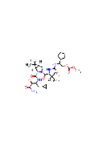 COC(=O)OC[C@@H](NC(=O)N[C@H](C(=O)N1C[C@H]2[C@@H]([C@H]1C(=O)NC(CC1CC1)C(=O)C(N)=O)C2(C)C)C(C)(C)C)C1CCCC1